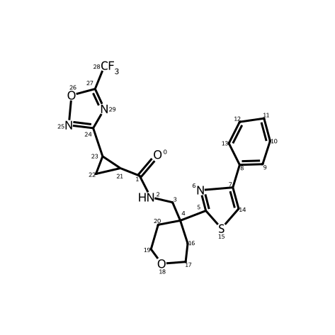 O=C(NCC1(c2nc(-c3ccccc3)cs2)CCOCC1)C1CC1c1noc(C(F)(F)F)n1